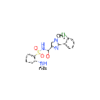 CCCCNc1ccccc1S(=O)(=O)NC(=O)c1cn(C)c(-c2ccccc2Cl)n1